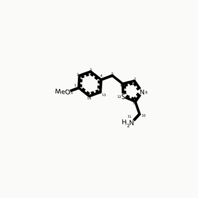 COc1ccc(Cc2cnc(CN)s2)cc1